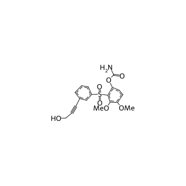 COc1ccc(OC(N)=O)c(S(=O)(=O)c2cccc(C#CCO)c2)c1OC